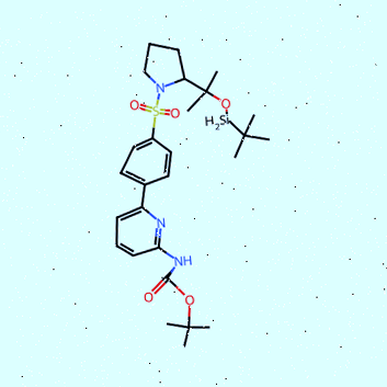 CC(C)(C)OC(=O)Nc1cccc(-c2ccc(S(=O)(=O)N3CCCC3C(C)(C)O[SiH2]C(C)(C)C)cc2)n1